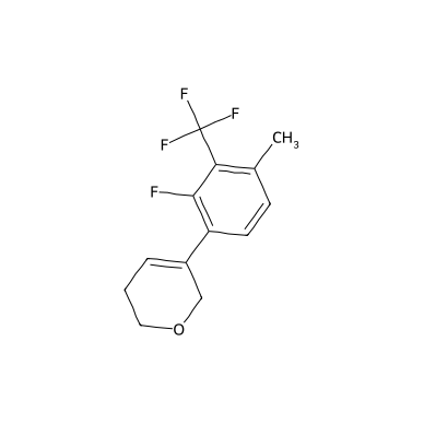 Cc1ccc(C2=CCCOC2)c(F)c1C(F)(F)F